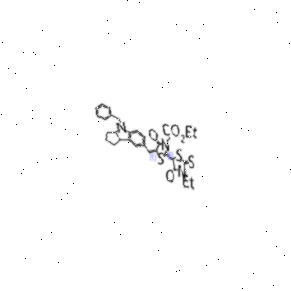 CCOC(=O)Cn1c(=O)/c(=C\c2ccc3c(c2)C2CCCC2N3Cc2ccccc2)s/c1=C1/SC(=S)N(CC)C1=O